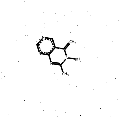 BN1C(=C)c2cncnc2N=C1C